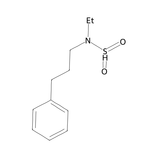 CCN(CCCc1ccccc1)[SH](=O)=O